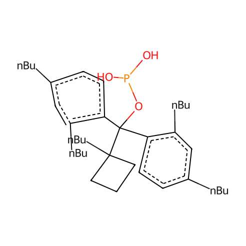 CCCCc1ccc(C(OP(O)O)(c2ccc(CCCC)cc2CCCC)C2(CCCC)CCC2)c(CCCC)c1